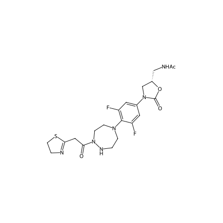 CC(=O)NC[C@H]1CN(c2cc(F)c(N3CCNN(C(=O)CC4=NCCS4)CC3)c(F)c2)C(=O)O1